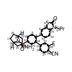 CC(C)n1c(=O)sc2cc(-c3ccc(C(=O)N4[C@@H]5CC[C@H]4C[C@@H](N)C5)cc3-c3ccc(C#N)c(F)c3)ccc21